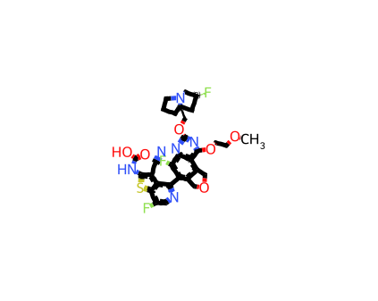 COCCOc1nc(OC[C@@]23CCCN2C[C@H](F)C3)nc2c(F)c(-c3ncc(F)c4sc(NC(=O)O)c(C#N)c34)c3c(c12)COC3